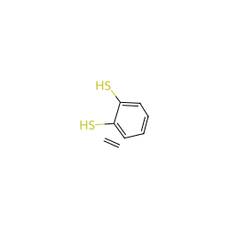 C=C.Sc1ccccc1S